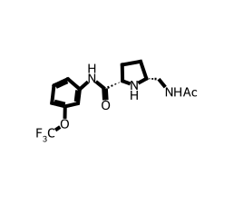 CC(=O)NC[C@H]1CC[C@@H](C(=O)Nc2cccc(OC(F)(F)F)c2)N1